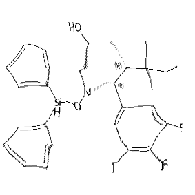 C[C@@H]([C@H](c1cc(F)c(F)c(F)c1)N(CCO)O[SiH](c1ccccc1)c1ccccc1)C(C)(C)C